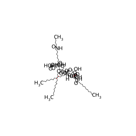 CCCCCCCCCCCCCC(=O)N[C@H]1[C@H](OC[C@H]2O[C@H](O)[C@](CCOP(=O)(O)O)(NC(=O)CCCCCCCNC(=O)CCCCC)[C@@H](OC(=O)CCCCCCCCCCCCC)[C@@H]2O)O[C@H](CO)[C@@H](OP(=O)(O)O)[C@@H]1OC(=O)CNC(=O)CCCCCCCCCCC